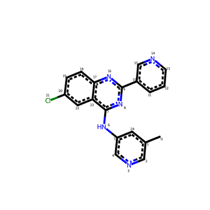 Cc1cncc(Nc2nc(-c3cccnc3)nc3ccc(Cl)cc23)c1